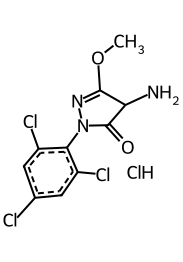 COC1=NN(c2c(Cl)cc(Cl)cc2Cl)C(=O)C1N.Cl